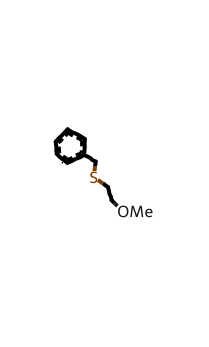 COCCSCc1[c]cccc1